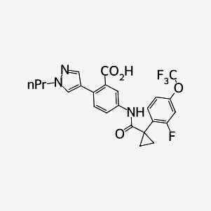 CCCn1cc(-c2ccc(NC(=O)C3(c4ccc(OC(F)(F)F)cc4F)CC3)cc2C(=O)O)cn1